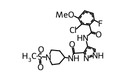 COc1ccc(F)c(C(=O)Nc2c[nH]nc2C(=O)NC2CCN(S(C)(=O)=O)CC2)c1Cl